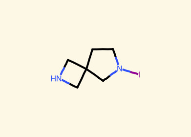 IN1CCC2(CNC2)C1